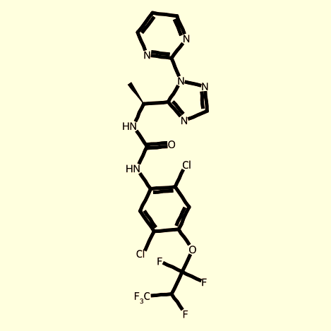 C[C@H](NC(=O)Nc1cc(Cl)c(OC(F)(F)C(F)C(F)(F)F)cc1Cl)c1ncnn1-c1ncccn1